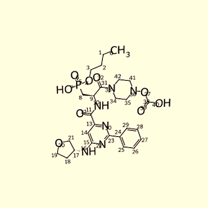 CCCCOP(=O)(O)C[C@H](NC(=O)c1cc(N[C@@H]2CCOC2)nc(-c2ccccc2)n1)C(=O)N1CCN(OC(=O)O)CC1